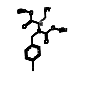 CC(C)C[C@@H](C(=O)OC(C)(C)C)N(Cc1ccc(I)cc1)C(=O)OC(C)(C)C